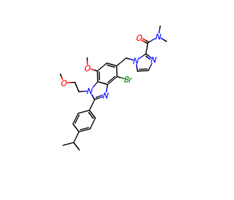 COCCn1c(-c2ccc(C(C)C)cc2)nc2c(Br)c(Cn3ccnc3C(=O)N(C)C)cc(OC)c21